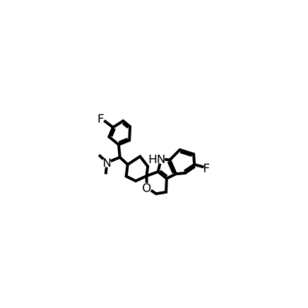 CN(C)C(c1cccc(F)c1)C1CCC2(CC1)OCCc1c2[nH]c2ccc(F)cc12